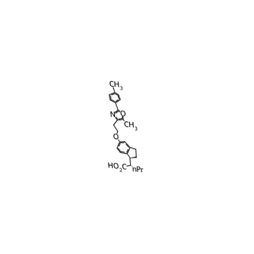 CCC[C@H](C(=O)O)[C@@H]1CCc2cc(OCCc3nc(-c4ccc(C)cc4)oc3C)ccc21